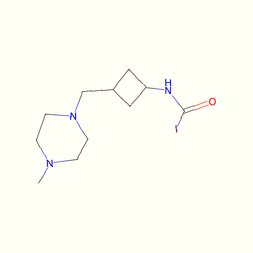 CN1CCN(CC2CC(NC(=O)I)C2)CC1